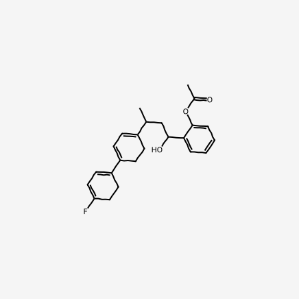 CC(=O)Oc1ccccc1C(O)CC(C)C1=CC=C(C2=CC=C(F)CC2)CC1